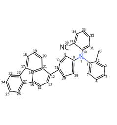 Cc1ccccc1N(c1ccc(-c2ccc3c4c(cccc24)-c2ccccc2-3)cc1)c1ccccc1C#N